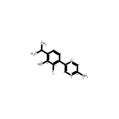 CC(C)c1ccc(-c2cnc(N)cn2)c(F)c1O